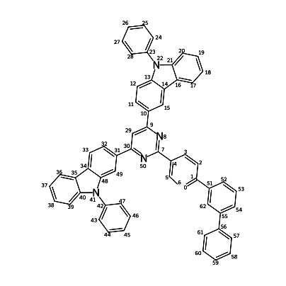 C=C(/C=C\C(=C/C)c1nc(-c2ccc3c(c2)c2ccccc2n3-c2ccccc2)cc(-c2ccc3c4ccccc4n(-c4ccccc4)c3c2)n1)c1cccc(-c2ccccc2)c1